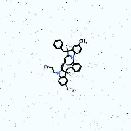 Cc1ccc2c(c1)C(C)(Cc1ccccc1)C(/C=C/C=C1/N(CCC(C)C)c3ccc(C(F)(F)F)cc3C1(C)Cc1ccccc1)=[N+]2CCC(C)C